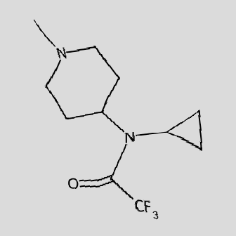 CN1CCC(N(C(=O)C(F)(F)F)C2CC2)CC1